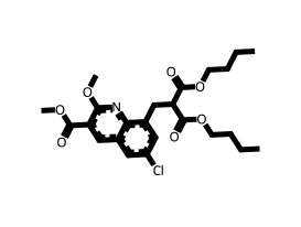 CCCCOC(=O)C(Cc1cc(Cl)cc2cc(C(=O)OC)c(OC)nc12)C(=O)OCCCC